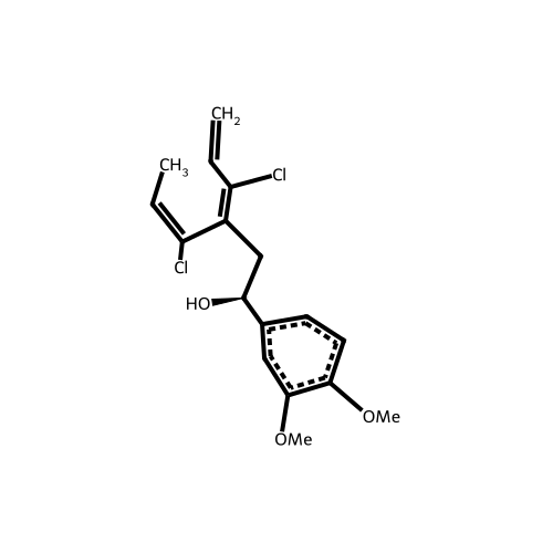 C=C/C(Cl)=C(C[C@H](O)c1ccc(OC)c(OC)c1)\C(Cl)=C/C